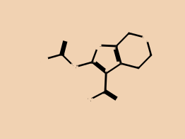 CC(=O)Nc1sc2c(c1C(N)=O)CCOC2